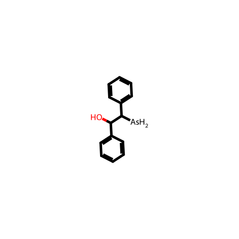 OC(c1ccccc1)C([AsH2])c1ccccc1